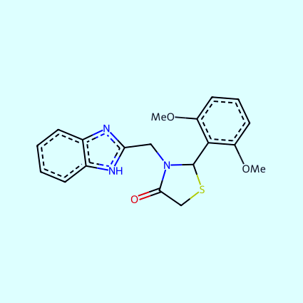 COc1cccc(OC)c1C1SCC(=O)N1Cc1nc2ccccc2[nH]1